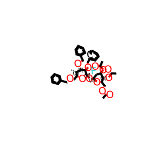 CC(=O)OCC1O[C@@H](O[C@@]2(C)OC(COCc3ccccc3)[C@H](C)[C@H](OCc3ccccc3)C2OCc2ccccc2)C(F)C(OC(C)=O)[C@@H]1OC(C)=O